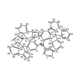 c1ccc(N(c2ccc3c(c2)C2(c4ccccc4-c4ccccc42)c2ccccc2C32c3ccccc3-c3ccccc32)c2cccc3c2-c2ccccc2C32c3ccccc3-c3ccccc32)cc1